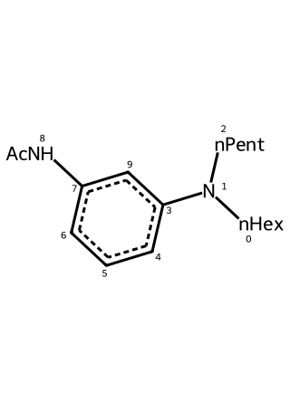 CCCCCCN(CCCCC)c1cccc(NC(C)=O)c1